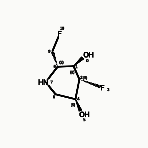 O[C@H]1[C@H](F)[C@@H](O)CN[C@@H]1CF